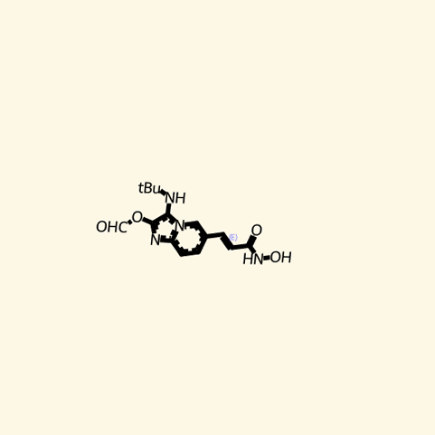 CC(C)(C)Nc1c(OC=O)nc2ccc(/C=C/C(=O)NO)cn12